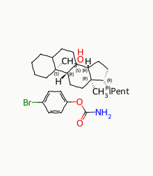 CCC[C@@H](C)[C@H]1CC[C@@H]2[C@]1(C)CC[C@H]1[C@@]2(O)CCC2CCCC[C@@]21C.NC(=O)Oc1ccc(Br)cc1